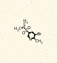 Cc1ncc(S(=O)(=O)N(C)C)cc1Br